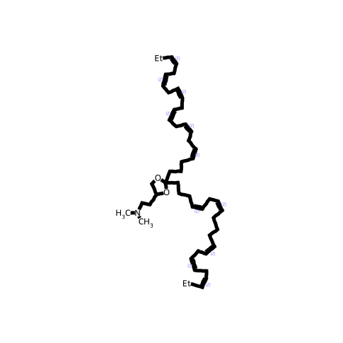 CC/C=C\C/C=C\C/C=C\C/C=C\C/C=C\C/C=C\CCCC1(CCC/C=C\C/C=C\CCC/C=C\C/C=C\C/C=C\CC)OCC(CCN(C)C)O1